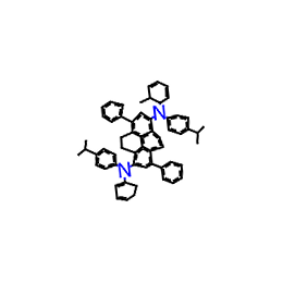 CC(C)c1ccc(N(C2=CC=CCC2)c2cc(-c3ccccc3)c3ccc4c(N(c5ccc(C(C)C)cc5)C5C=CC=CC5C)cc(-c5ccccc5)c5c4c3c2CC5)cc1